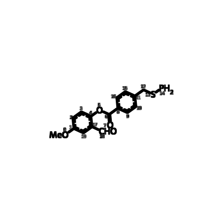 COc1ccc(OC(=O)c2ccc(CSP)cc2)c(C=O)c1